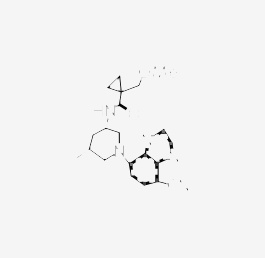 COCC1(C(=O)N[C@@H]2C[C@H](C)CN(c3ccc(C#N)c4nccnc34)C2)CC1